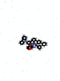 c1ccc(-c2ccc(-c3cccc(-c4cc(-n5c6ccccc6c6ccccc65)cc5c4oc4ccccc45)c3-c3nc(-c4ccccc4)nc(-c4ccccc4)n3)cc2)cc1